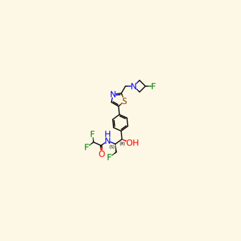 O=C(N[C@H](CF)[C@H](O)c1ccc(-c2cnc(CN3CC(F)C3)s2)cc1)C(F)F